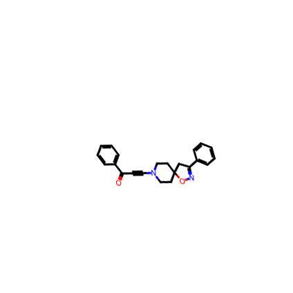 O=C(C#CN1CCC2(CC1)CC(c1ccccc1)=NO2)c1ccccc1